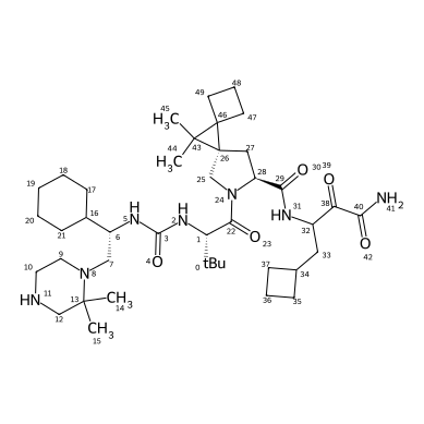 CC(C)(C)[C@H](NC(=O)N[C@H](CN1CCNCC1(C)C)C1CCCCC1)C(=O)N1C[C@]2(C[C@H]1C(=O)NC(CC1CCC1)C(=O)C(N)=O)C(C)(C)C21CCC1